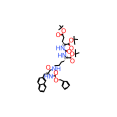 CC(C)(C)OC(=O)CC[C@H](NC(=O)N[C@@H](CCCCNC(=O)[C@H](Cc1ccc2ccccc2c1)NC(=O)OCc1ccccc1)C(=O)OC(C)(C)C)C(=O)OC(C)(C)C